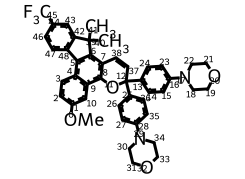 COc1ccc2c3c(c4c(c2c1)OC(c1ccc(N2CCOCC2)cc1)(c1ccc(N2CCOCC2)cc1)C=C4)C(C)(C)c1cc(C(F)(F)F)ccc1-3